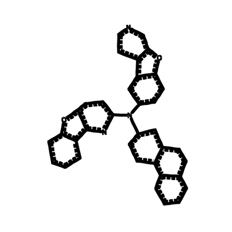 c1ccc2c(c1)ccc1cc(N(c3ccc4oc5cnccc5c4c3)c3ccc4oc5ccccc5c4n3)ccc12